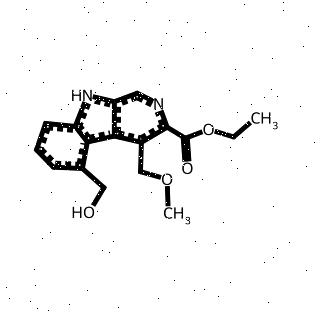 CCOC(=O)c1ncc2[nH]c3cccc(CO)c3c2c1COC